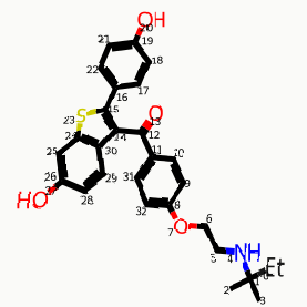 CCC(C)(C)NCCOc1ccc(C(=O)c2c(-c3ccc(O)cc3)sc3cc(O)ccc23)cc1